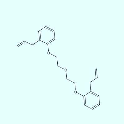 C=CCc1ccccc1OCCOCCOc1ccccc1CC=C